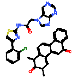 CC1C=c2c(ccc3c2=CC(=O)c2ccccc2-3)C(C)C1=O.O=C(Cn1cnc2ncncc21)Nc1nc(-c2ccccc2Cl)cs1